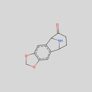 O=C1CCC2NC1c1cc3c(cc12)OCO3